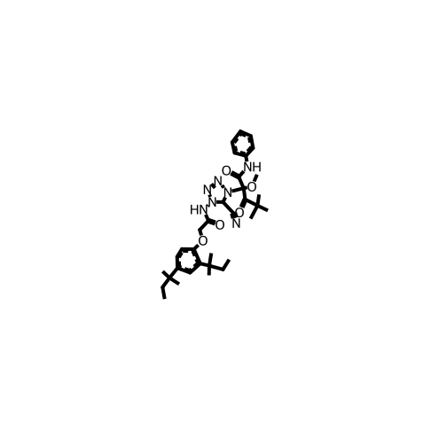 CCC(C)(C)c1ccc(OCC(=O)NN2N=NN(C(OC)(C(=O)Nc3ccccc3)C(=O)C(C)(C)C)C2C#N)c(C(C)(C)CC)c1